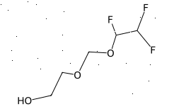 OCCOCOC(F)C(F)F